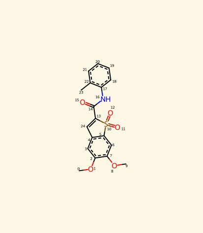 COc1cc2c(cc1OC)S(=O)(=O)C(C(=O)Nc1ccccc1C)=C2